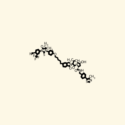 Cc1ncsc1-c1ccc(CNC(=O)[C@@H]2C[C@@H](O)CN2C(=O)C(C(C)C)N2Cc3cc(CCCCCOc4ccc(N5C(=S)N(c6ccc(C#N)c(C(F)(F)F)c6)C(=O)C5(C)C)cc4)ccc3C2=O)cc1